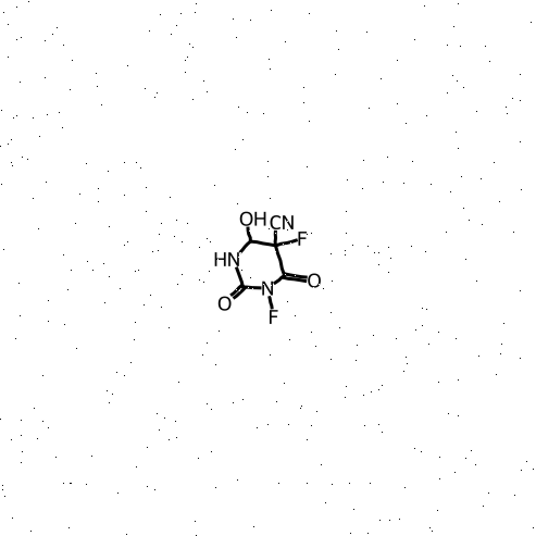 N#CC1(F)C(=O)N(F)C(=O)NC1O